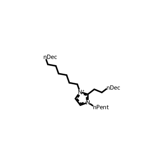 CCCCCCCCCCCCCCCC[n+]1ccn(CCCCC)c1CCCCCCCCCCCC